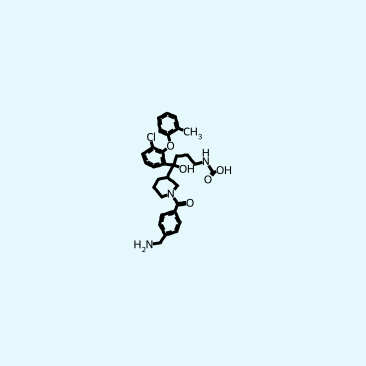 Cc1ccccc1Oc1c(Cl)cccc1C(O)(CCCNC(=O)O)C1CCCN(C(=O)c2ccc(CN)cc2)C1